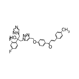 Cc1ccc(C=CC(=O)c2ccc(OCc3cn(CC(O)(Cn4cncn4)c4ccc(F)cc4F)nn3)cc2)cc1